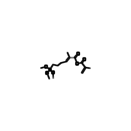 C=C(C)C(=O)OC(=O)C(C)=CCCC[Si](OC)(OC)OC